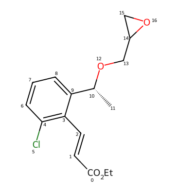 CCOC(=O)/C=C/c1c(Cl)cccc1[C@@H](C)OCC1CO1